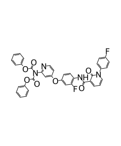 O=C(Nc1ccc(Oc2ccnc(N(C(=O)Oc3ccccc3)C(=O)Oc3ccccc3)c2)cc1F)c1cccn(-c2ccc(F)cc2)c1=O